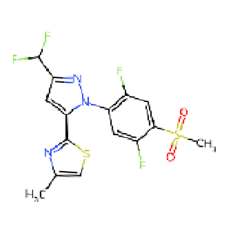 Cc1csc(-c2cc(C(F)F)nn2-c2cc(F)c(S(C)(=O)=O)cc2F)n1